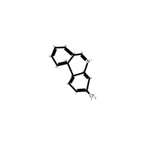 FC(F)(F)c1ccc2c(c1)ncc1ccccc12